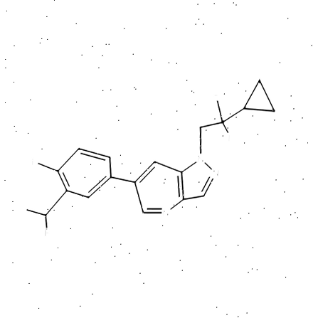 Fc1ccc(-c2cnc3cnn(CC(F)(F)C4CC4)c3c2)cc1C(F)F